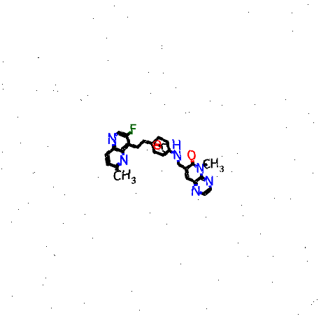 Cc1ccc2ncc(F)c(CCC34CCC(NCc5cc6nccnc6n(C)c5=O)(CC3)CO4)c2n1